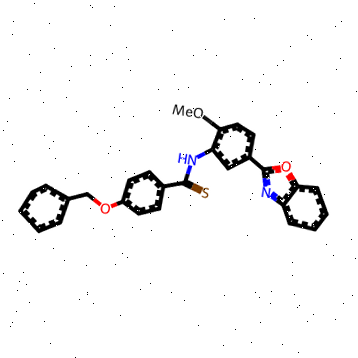 COc1ccc(-c2nc3ccccc3o2)cc1NC(=S)c1ccc(OCc2ccccc2)cc1